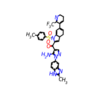 Cc1ccc(S(=O)(=O)N2C(C(=O)c3cnn(-c4ccc5[nH]c(C)nc5c4)c3N)=CC3CC=C(C4=CCCN=C4C(F)(F)F)C=C32)cc1